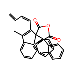 C=C/C=C\C1=C(C)c2ccccc2C12C(=O)OC(=O)C21c2ccccc2-c2ccccc21